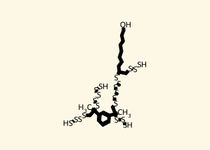 CC(CSSSSSSC(CCCCCCCCO)CSSS)(SSS)c1cccc(C(C)(CSSSS)SSSSS)c1